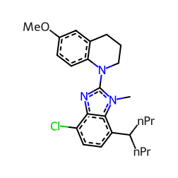 CCCC(CCC)c1ccc(Cl)c2nc(N3CCCc4cc(OC)ccc43)n(C)c12